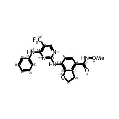 CONC(=O)c1ccc(Nc2ncc(C(F)(F)F)c(Nc3[c]cccc3)n2)c2c1CCO2